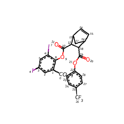 O=C(O)c1cc(I)cc(I)c1OC(=O)C1C2C=CC(C2)C1C(=O)Oc1ccc(C(F)(F)F)cc1